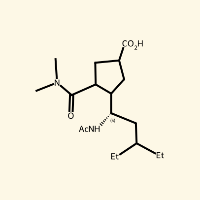 CCC(CC)C[C@H](NC(C)=O)C1CC(C(=O)O)CC1C(=O)N(C)C